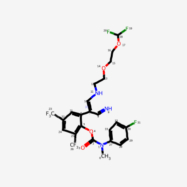 CN(C(=O)Oc1c(/C(C=N)=C/NCCOCCOC(F)F)cc(C(F)(F)F)cc1C(F)(F)F)c1ccc(F)cc1